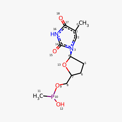 Cc1cn([C@H]2CCC(COP(C)O)O2)c(=O)[nH]c1=O